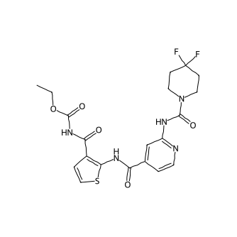 CCOC(=O)NC(=O)c1ccsc1NC(=O)c1ccnc(NC(=O)N2CCC(F)(F)CC2)c1